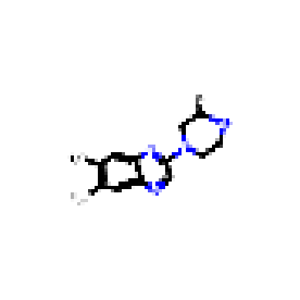 Cc1cc2ncc(N3CCNC(C(C)C)C3)nc2cc1C